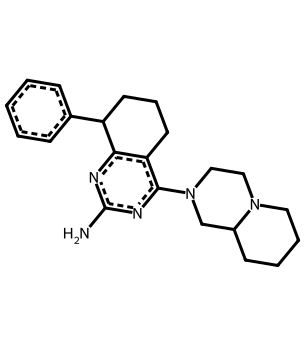 Nc1nc2c(c(N3CCN4CCCCC4C3)n1)CCCC2c1ccccc1